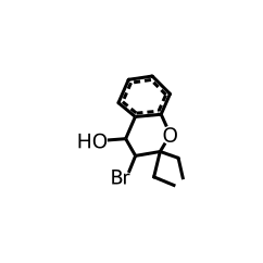 CCC1(CC)Oc2ccccc2C(O)C1Br